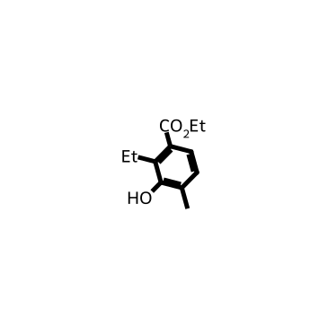 CCOC(=O)c1ccc(C)c(O)c1CC